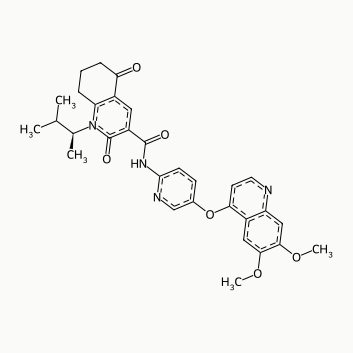 COc1cc2nccc(Oc3ccc(NC(=O)c4cc5c(n([C@@H](C)C(C)C)c4=O)CCCC5=O)nc3)c2cc1OC